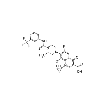 COc1c(N2CCN(C(=S)Nc3cccc(C(F)(F)F)c3)C(C)C2)c(F)cc2c(=O)c(C(=O)O)cn(C3CC3)c12